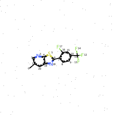 Cc1cnc2sc(-c3ccc(C(F)(F)F)cc3F)nc2c1